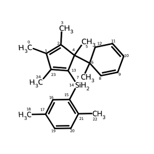 CC1=C(C)C(C)(C2(C)C=CC=CC2)C([SiH2]c2cc(C)ccc2C)=C1C